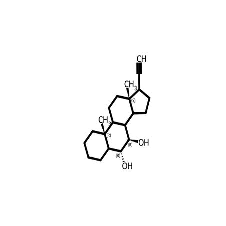 C#CC1CCC2C3C(CC[C@]12C)[C@@]1(C)CCCCC1[C@@H](O)[C@@H]3O